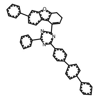 C1=C(c2nc(-c3ccccc3)nc(-c3ccc(-c4ccc(-c5ccccc5)cc4)cc3)n2)c2c(oc3cc(-c4ccccc4)ccc23)CC1